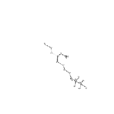 CCC[C@H](CO)CCCCO[Si](C)(C)C(C)(C)C